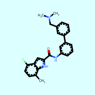 Cc1ccc(F)c2cc(C(=O)Nc3cccc(-c4cccc(CN(C)C)c4)c3)[nH]c12